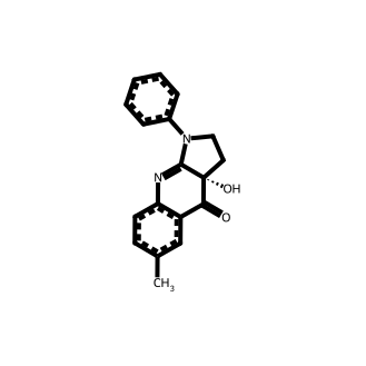 Cc1ccc2c(c1)C(=O)[C@]1(O)CCN(c3ccccc3)C1=N2